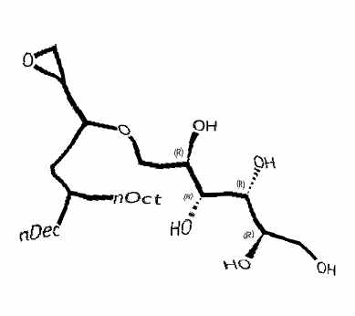 CCCCCCCCCCC(CCCCCCCC)CC(OC[C@@H](O)[C@@H](O)[C@H](O)[C@H](O)CO)C1CO1